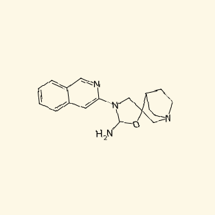 NC1OC2(CN3CCC2CC3)CN1c1cc2ccccc2cn1